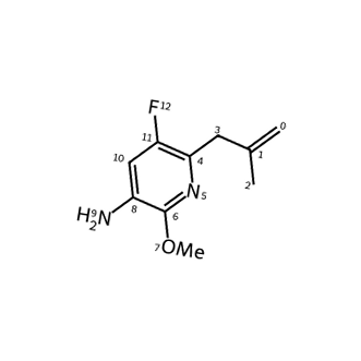 C=C(C)Cc1nc(OC)c(N)cc1F